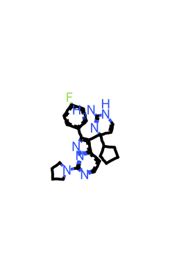 NC1=NC(c2c(-c3ccc(F)cc3)nn3c(N4CCCC4)nccc23)(C2CCCC2)C=CN1